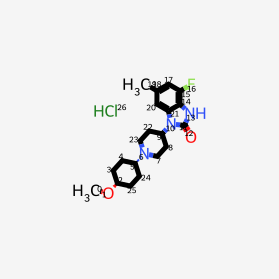 CO[C@H]1CC[C@H](N2CCC(n3c(=O)[nH]c4c(F)cc(C)cc43)CC2)CC1.Cl